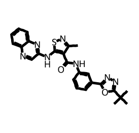 Cc1nsc(Nc2cnc3ccccc3n2)c1C(=O)Nc1cccc(-c2nnc(C(C)(C)C)o2)c1